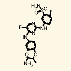 Cc1ccc(Nc2ncc(F)c(Nc3ccc(OC(C)C(N)=O)cc3)n2)cc1S(N)(=O)=O